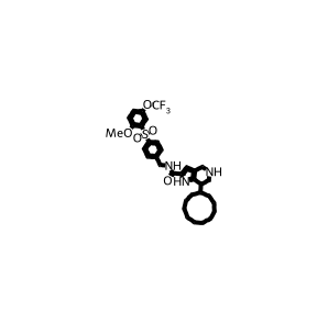 COc1ccc(OC(F)(F)F)cc1S(=O)(=O)c1ccc(CNC(=O)c2cc3c([nH]2)C(C2CCCCCCCCCC2)CNC3)cc1